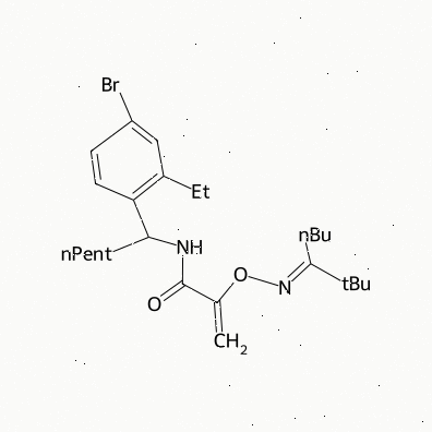 C=C(O/N=C(\CCCC)C(C)(C)C)C(=O)NC(CCCCC)c1ccc(Br)cc1CC